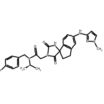 C[C@H](N(Cc1ccc(F)cc1)C(=O)CN1C(=O)NC2(CCc3cc(Nc4ccn(C)n4)ccc32)C1=O)C(F)(F)F